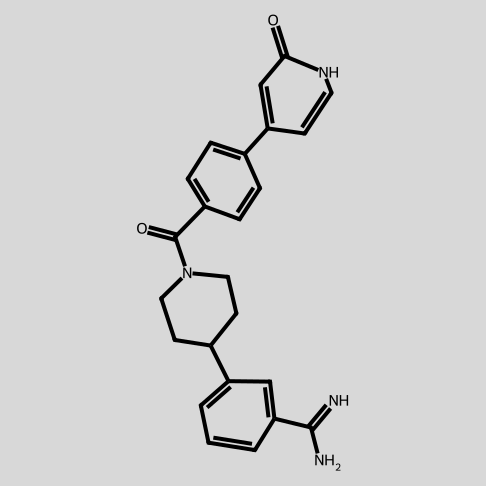 N=C(N)c1cccc(C2CCN(C(=O)c3ccc(-c4cc[nH]c(=O)c4)cc3)CC2)c1